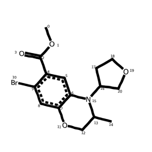 COC(=O)c1cc2c(cc1Br)OCC(C)N2C1CCOC1